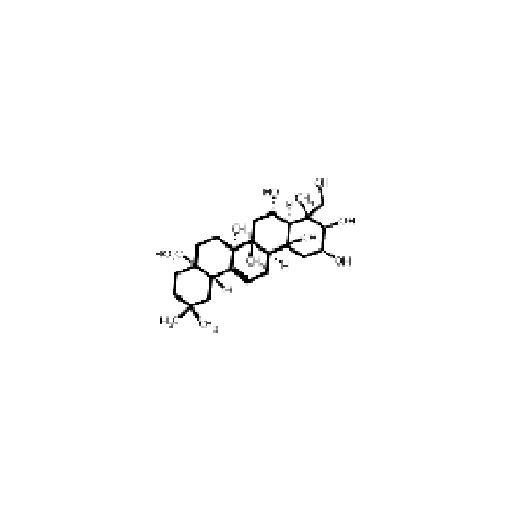 CC1(C)CC[C@]2(C(=O)O)CC[C@]3(C)C(=CC[C@@H]4[C@@]5(C)C[C@H](O)[C@H](O)[C@@](C)(CO)[C@@H]5[C@@H](O)C[C@]43C)[C@@H]2C1